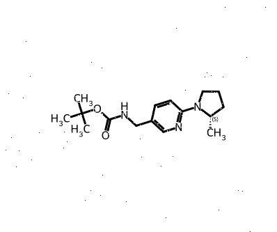 C[C@H]1CCCN1c1ccc(CNC(=O)OC(C)(C)C)cn1